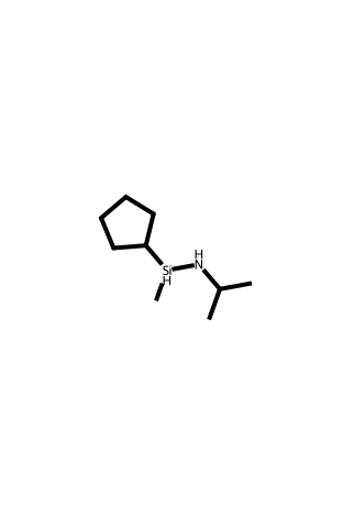 CC(C)N[SiH](C)C1CCCC1